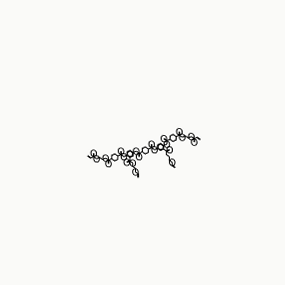 C=COCCCC(=O)c1cc(OC(=O)C2CCC(C(=O)Oc3ccc(OC(=O)C4CCC(C(=O)OCCOC(=O)C=C)CC4)c(C(=O)OCCOC=C)c3)CC2)ccc1OC(=O)C1CCC(C(=O)OCCOC(=O)C=C)CC1